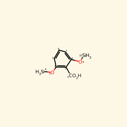 O=C(O)c1c(O[SiH3])cccc1O[SiH3]